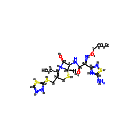 CCOC(=O)CON=C(C(=O)NC1C(=O)N2C(C(=O)O)=C(CSc3nncs3)CS[C@@H]12)c1nsc(N)n1